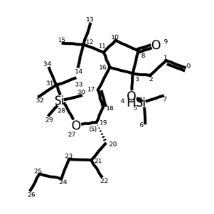 C=CCC1(O[SiH](C)C)C(=O)CC(C(C)(C)C)C1C=C[C@H](CC(C)CCCC)O[Si](C)(C)C(C)(C)C